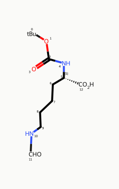 CC(C)(C)OC(=O)N[C@@H](CCCCNC=O)C(=O)O